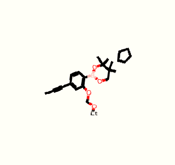 C1CCCC1.CC#Cc1ccc(B2OCC(C)(C)C(C)(C)O2)c(OCOCC)c1